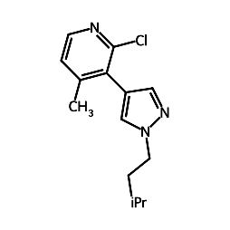 Cc1ccnc(Cl)c1-c1cnn(CCC(C)C)c1